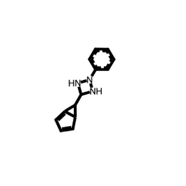 C1=CC2C(=C1)C2C1NN(c2ccccc2)N1